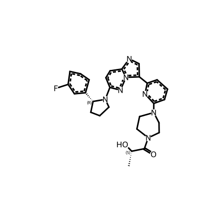 C[C@H](O)C(=O)N1CCN(c2cccc(-c3cnc4ccc(N5CCC[C@@H]5c5cccc(F)c5)nn34)n2)CC1